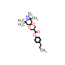 CCCc1ccc(OC(=O)C2COC3(CC(C)(C)NC(C)(C)C3)OC2)cc1